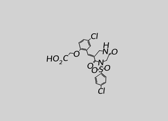 O=C(O)COc1ccc(Cl)cc1/C=C1\CNC(=O)CN(S(=O)(=O)c2ccc(Cl)cc2)C1=O